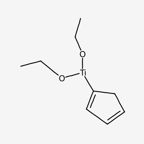 CC[O][Ti]([O]CC)[C]1=CC=CC1